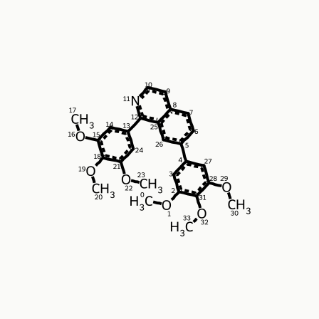 COc1cc(-c2ccc3ccnc(-c4cc(OC)c(OC)c(OC)c4)c3c2)cc(OC)c1OC